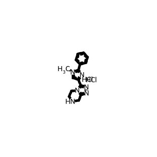 Cl.Cl.Cn1cc(-c2nnc3n2CCNC3)nc1-c1ccccc1